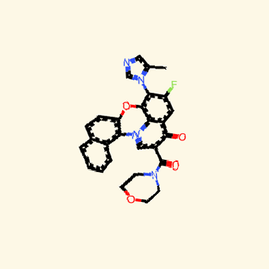 Cc1cncn1-c1c(F)cc2c(=O)c(C(=O)N3CCOCC3)cn3c2c1Oc1ccc2ccccc2c1-3